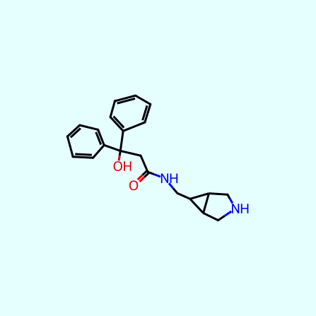 O=C(CC(O)(c1ccccc1)c1ccccc1)NCC1C2CNCC21